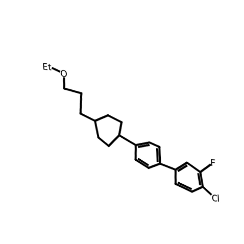 CCOCCCC1CCC(c2ccc(-c3ccc(Cl)c(F)c3)cc2)CC1